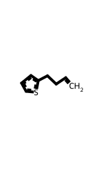 C=CCCc1cccs1